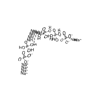 N.N.N.N.N.N.O=P(O)(O)O.O=P(O)(O)O.O=P(O)(O)O.O=P([O-])([O-])[O-].O=P([O-])([O-])[O-].[Na+].[Na+].[Na+].[Na+].[Na+].[Na+]